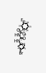 O=C(Nc1ncc(Br)s1)NS(=O)(=O)c1cccc(F)c1